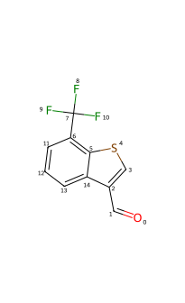 O=Cc1csc2c(C(F)(F)F)cccc12